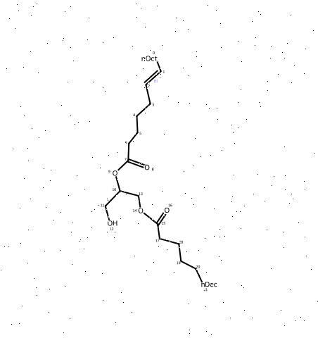 CCCCCCCC/C=C/CCCCC(=O)OC(CO)COC(=O)CCCCCCCCCCCCCC